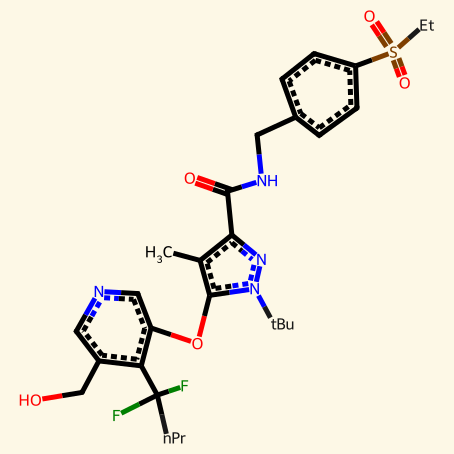 CCCC(F)(F)c1c(CO)cncc1Oc1c(C)c(C(=O)NCc2ccc(S(=O)(=O)CC)cc2)nn1C(C)(C)C